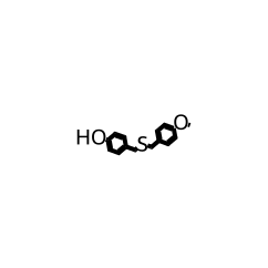 COc1ccc(CSCc2ccc(O)cc2)cc1